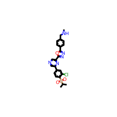 CNCc1ccc(-c2nnc(-c3cncc(-c4ccc(S(=O)(=O)C(C)C)c(Cl)c4)n3)o2)cc1